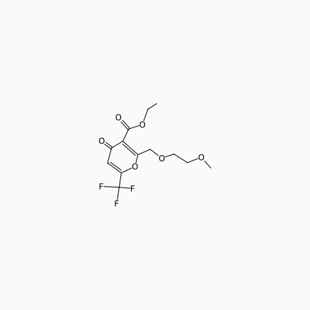 CCOC(=O)c1c(COCCOC)oc(C(F)(F)F)cc1=O